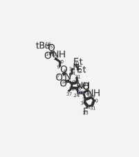 CCN(CC)CCN(C(=O)OCCCNC(=O)OC(C)(C)C)C(=O)c1c(C)[nH]c(/C=C2\C(=O)Nc3ccc(F)cc32)c1C